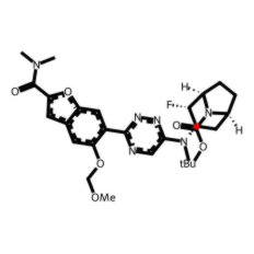 COCOc1cc2cc(C(=O)N(C)C)oc2cc1-c1ncc(N(C)[C@H]2C[C@@H]3CC[C@H]([C@H]2F)N3C(=O)OC(C)(C)C)nn1